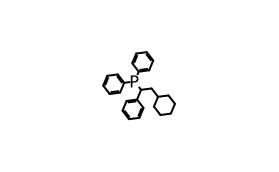 c1ccc(C(CC2CCCCC2)P(c2ccccc2)c2ccccc2)cc1